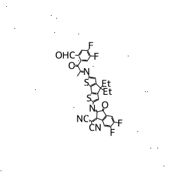 CCC1(CC)c2cc(/N=C3\C(=O)c4cc(F)c(F)cc4C3=C(C#N)C#N)sc2-c2sc(/N=C(\C)C(=O)c3cc(F)c(F)cc3C=O)cc21